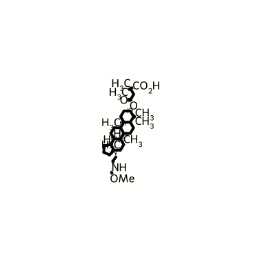 COCNCC[C@]12CCC[C@@H]1[C@H]1CCC3[C@@]4(C)CC[C@H](OC(=O)CC(C)(C)C(=O)O)C(C)(C)C4CC[C@@]3(C)[C@]1(C)CC2